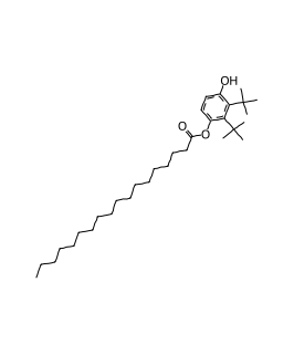 CCCCCCCCCCCCCCCCCC(=O)Oc1ccc(O)c(C(C)(C)C)c1C(C)(C)C